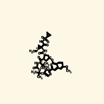 C=C[C@@H]1C[C@]1(NC(=O)[C@@H]1C[C@@H](Oc2nc(-c3nccs3)cc3cc(OC)ccc23)CN1C(=O)[C@@H](NC(=O)OC(C)(C)C)C(C)(C)C)C(=O)NS(=O)(=O)C1CC1